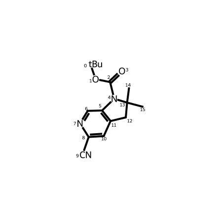 CC(C)(C)OC(=O)N1c2cnc(C#N)cc2CC1(C)C